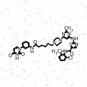 Cc1nc(Nc2ncc(C(=O)Nc3c(C)cccc3Cl)s2)cc(N2CCN(CCCCCC(=O)Nc3cccc(-n4ccc(=O)[nH]c4=O)c3)CC2)n1